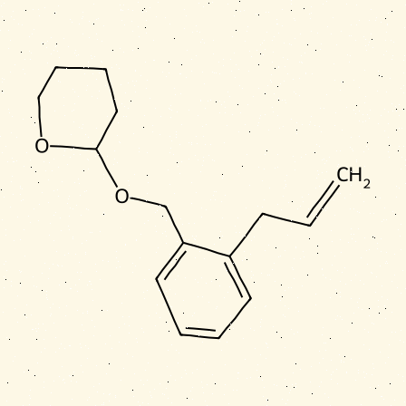 C=CCc1ccccc1COC1CCCCO1